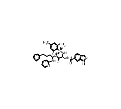 Cc1cc(C)c(S(=O)(=O)N[C@@H](CNC(=O)c2ccc3cn[nH]c3c2)C(=O)OC(CCCc2ccccc2)Nc2ccccn2)c(C)c1